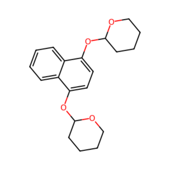 c1ccc2c(OC3CCCCO3)ccc(OC3CCCCO3)c2c1